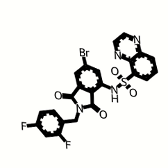 O=C1c2cc(Br)cc(NS(=O)(=O)c3cccc4nccnc34)c2C(=O)N1Cc1ccc(F)cc1F